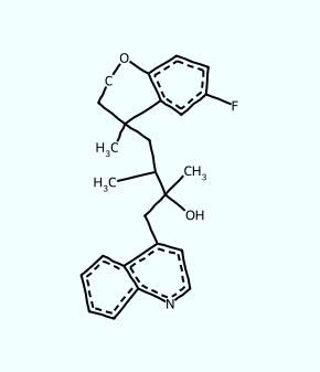 CC(CC1(C)CCOc2ccc(F)cc21)C(C)(O)Cc1ccnc2ccccc12